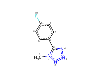 Cn1nnnc1-c1ccc(F)cc1